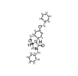 O=C1[C@@H]2c3ccc(OCc4ccccc4)cc3CO[C@@H]2CN1Cc1ccccc1